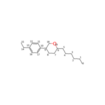 CCCCCCC1CCC(c2ccc(CC)cc2)CO1